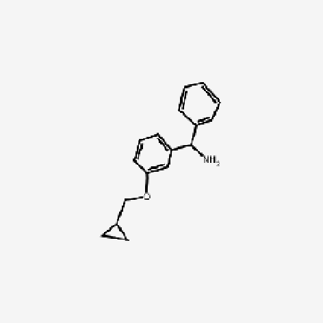 NC(c1ccccc1)c1cccc(OCC2CC2)c1